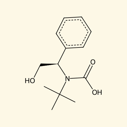 CC(C)(C)N(C(=O)O)[C@@H](CO)c1ccccc1